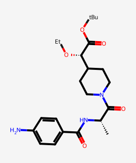 CCO[C@H](C(=O)OC(C)(C)C)C1CCN(C(=O)[C@H](C)NC(=O)c2ccc(N)cc2)CC1